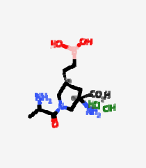 CC(N)C(=O)N1C[C@H](CCB(O)O)C[C@@](N)(C(=O)O)C1.Cl.Cl